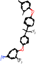 Cc1ccc(Oc2ccc(C(C)(c3ccc(Oc4ccc(N)cc4C(F)(F)F)cc3)C(F)(F)F)cc2)c(C)c1